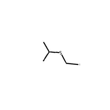 [CH]CSC(C)C